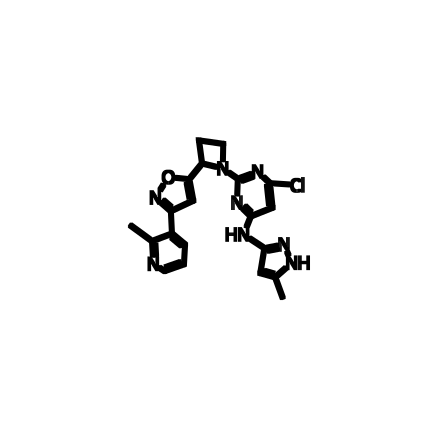 Cc1cc(Nc2cc(Cl)nc(N3CCC3c3cc(-c4cccnc4C)no3)n2)n[nH]1